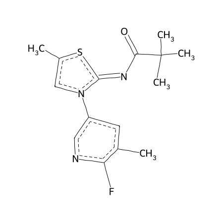 Cc1cn(-c2cnc(F)c(C)c2)/c(=N/C(=O)C(C)(C)C)s1